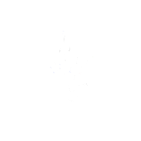 CC1=C(C(=O)N(Cc2ccc(F)cc2F)Cc2nncn2Cc2ccc(C#N)cc2)Cc2ccccc21